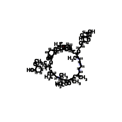 CO[C@@H]1C[C@H](C[C@@H](C)[C@@H]2CC(=O)[C@H](C)/C=C(\C)[C@@H](O)[C@@H](OC)C(=O)[C@H](C)C[C@H](C)/C=C/C=C/C=C(\C)[C@H](OCCO[C@@H]3CO[C@H]4[C@@H]3OC[C@H]4O)C[C@@H]3CC[C@@H](C)[C@@](O)(O3)C(=O)C(=O)N3CCCC[C@H]3C(=O)O2)CC[C@H]1O